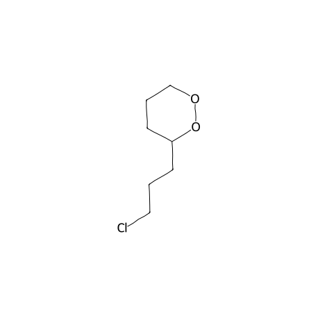 ClCCCC1CCCOO1